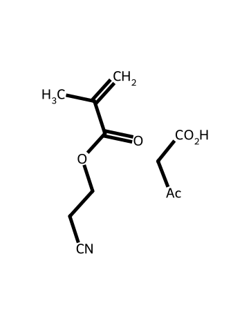 C=C(C)C(=O)OCCC#N.CC(=O)CC(=O)O